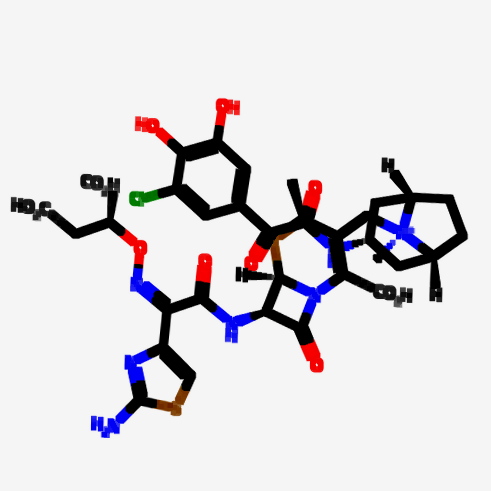 C[C@@H]1S[C@@H]2[C@H](NC(=O)/C(=N\O[C@@H](CC(=O)O)C(=O)O)c3csc(N)n3)C(=O)N2C(C(=O)O)=C1C[N@+]1(C)[C@@H]2CC[C@H]1C[C@@H](NC(=O)C(=O)c1cc(O)c(O)c(Cl)c1)C2